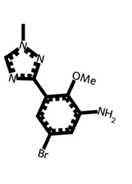 COc1c(N)cc(Br)cc1-c1ncn(C)n1